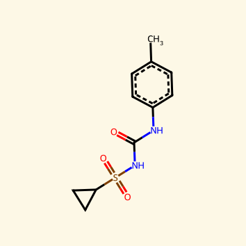 Cc1ccc(NC(=O)NS(=O)(=O)C2CC2)cc1